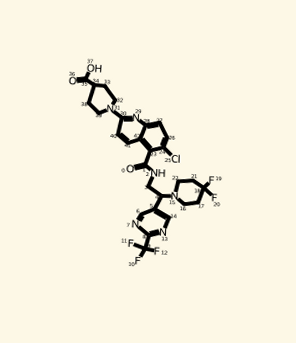 O=C(NCC(c1cnc(C(F)(F)F)nc1)N1CCC(F)(F)CC1)c1c(Cl)ccc2nc(N3CCC(C(=O)O)CC3)ccc12